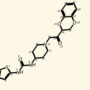 O=C(Nc1cccs1)NC1CCN(CC(=O)C2COc3ccccc3O2)CC1